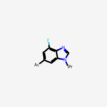 CC(=O)c1cc(F)c2ncn(C(C)C)c2c1